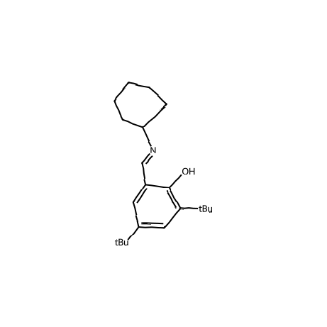 CC(C)(C)c1cc(C=NC2CCCCC2)c(O)c(C(C)(C)C)c1